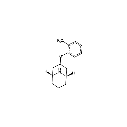 FC(F)(F)c1ccccc1O[C@@H]1C[C@H]2CCC[C@@H](C1)N2